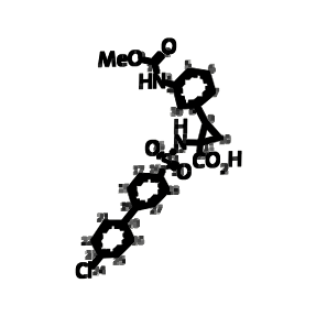 COC(=O)Nc1cccc(C2CC2(NS(=O)(=O)c2ccc(-c3ccc(Cl)cc3)cc2)C(=O)O)c1